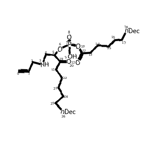 C=CCNCC(OP(=O)(O)OC(=O)CCCCCCCCCCCCCCC)C(=O)CCCCCCCCCCCCCCC